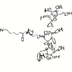 NCCCCCC(=O)NCCO[C@H]1O[C@H](CO[C@H]2O[C@H](CO)[C@@H](O)[C@H](O)[C@@H]2O)[C@@H](O)[C@H](O[C@H]2O[C@H](CO)[C@@H](O)[C@H](O)[C@@H]2O)[C@@H]1O